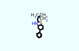 CC(C)(C)CC1NC2CC(c3ccccc3)CCC2S1